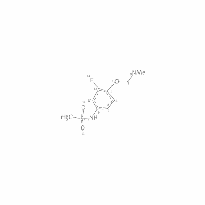 CNCOc1ccc(NS(C)(=O)=O)cc1F